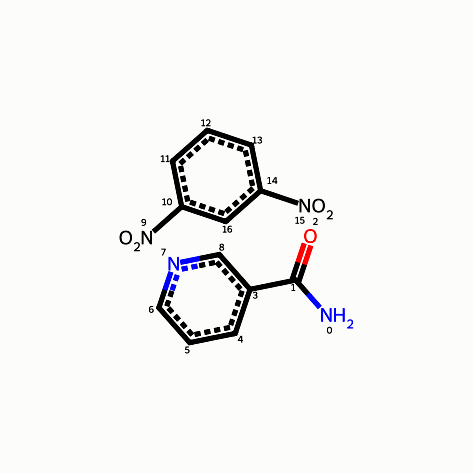 NC(=O)c1cccnc1.O=[N+]([O-])c1cccc([N+](=O)[O-])c1